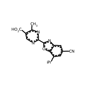 Cc1nc(-c2nc3cc(C#N)cc(C(C)C)c3o2)ncc1C(=O)O